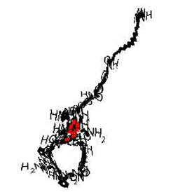 CCCC[C@H](NC(=O)[C@H](Cc1c[nH]cn1)NC(=O)[C@H](CO)NC(=O)[C@@H](CCC(N)=O)NC(=O)[C@H](CO)NC(=O)COCCOCCNC(=O)COCCOCCNC(=O)CCCCCCCCCCCCCCCc1nnn[nH]1)C(=O)N[C@H]1CCC(=O)NCCCC[C@@H](C(N)=O)NC(=O)[C@H](Cc2c[nH]c3ccccc23)NC(=O)[C@H](CCCNC(=N)N)NC(=O)[C@@H](Cc2ccccc2)NC(=O)[C@@H]2C[C@@H](O)CN2C1=O